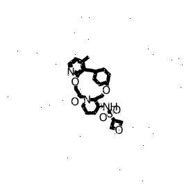 Cc1ccnc2c1C1CCC(CC1)OCC1[C@@H](NS(=O)(=O)C3COC3)CCCN1C(=O)CO2